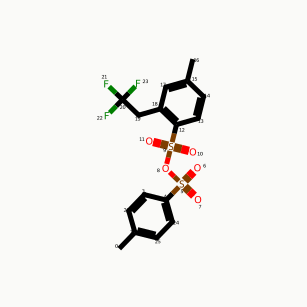 Cc1ccc(S(=O)(=O)OS(=O)(=O)c2ccc(C)cc2CC(F)(F)F)cc1